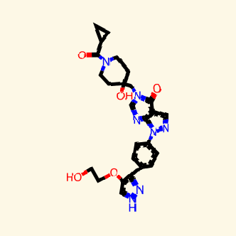 O=C(C1CC1)N1CCC(O)(Cn2cnc3c(cnn3-c3ccc(-c4n[nH]cc4OCCO)cc3)c2=O)CC1